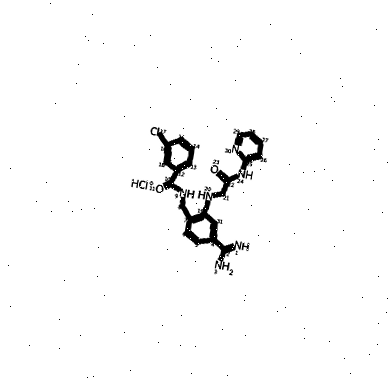 Cl.N=C(N)c1ccc(CNC(=O)c2cccc(Cl)c2)c(NCC(=O)Nc2ccccn2)c1